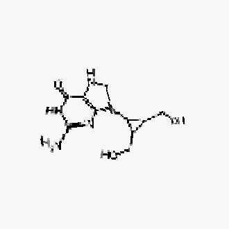 Nc1nc2c(c(=O)[nH]1)NCN2C1C(CO)C1CO